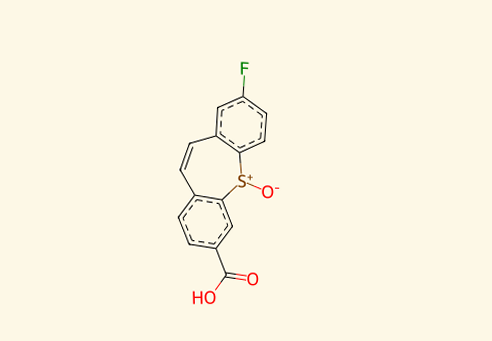 O=C(O)c1ccc2c(c1)[S+]([O-])c1ccc(F)cc1C=C2